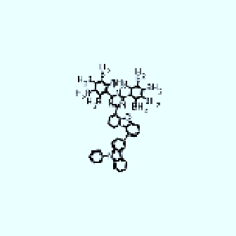 Bc1c(B)c(B)c(-c2nc(-c3c(B)c(B)c(B)c(B)c3B)nc(-c3cccc4c3oc3cccc(-c5ccc6c(c5)c5ccccc5n6-c5ccccc5)c34)n2)c(B)c1B